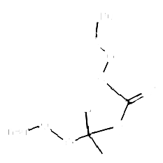 CCCCOOC(C)(C)OC(=O)OOOC(C)(C)C